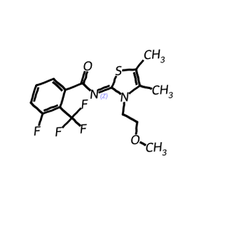 COCCn1c(C)c(C)s/c1=N\C(=O)c1cccc(F)c1C(F)(F)F